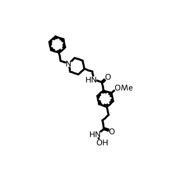 COc1cc(CCC(=O)NO)ccc1C(=O)NCC1CCN(Cc2ccccc2)CC1